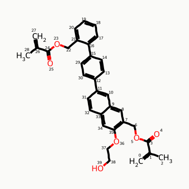 C=C(C)C(=O)OCc1cc2cc(-c3ccc(-c4ccccc4COC(=O)C(=C)C)cc3)ccc2cc1OCCO